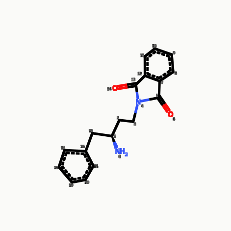 N[C@H](CCN1C(=O)c2ccccc2C1=O)Cc1ccccc1